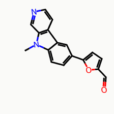 Cn1c2ccc(-c3ccc(C=O)o3)cc2c2ccncc21